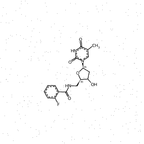 Cc1cn([C@H]2CC(O)[C@@H](CNC(=O)c3ccccc3F)O2)c(=O)[nH]c1=O